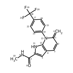 C=C1C=Cc2cc(C(=O)NC)[nH]c2N1c1ccc(C(F)(F)F)cc1